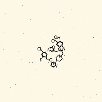 O=C(O)c1ccc2nc(CN3CCC(n4nccc4OCc4ccc(Cl)cc4F)CC3)n(Cc3cnco3)c2c1